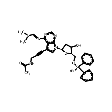 CN(C)/C=N/c1ncnc2c1c(C#CCNC(=O)C(F)(F)F)cn2[C@H]1CC(O)[C@@H](CO[Si](c2ccccc2)(c2ccccc2)C(C)(C)C)O1